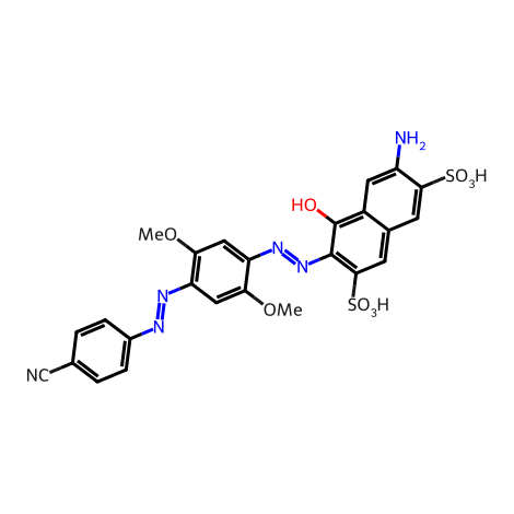 COc1cc(N=Nc2c(S(=O)(=O)O)cc3cc(S(=O)(=O)O)c(N)cc3c2O)c(OC)cc1N=Nc1ccc(C#N)cc1